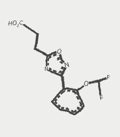 O=C(O)CCc1nc(-c2ccccc2OC(F)F)no1